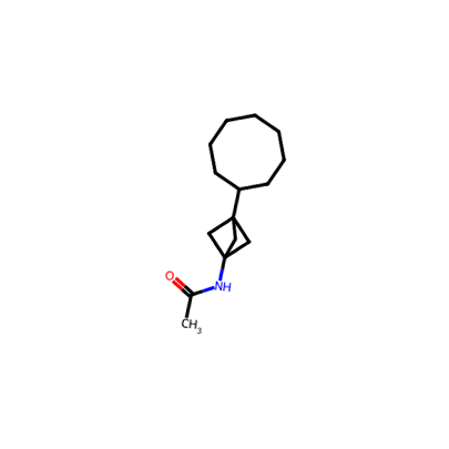 CC(=O)NC12CC(C3CCCCCCC3)(C1)C2